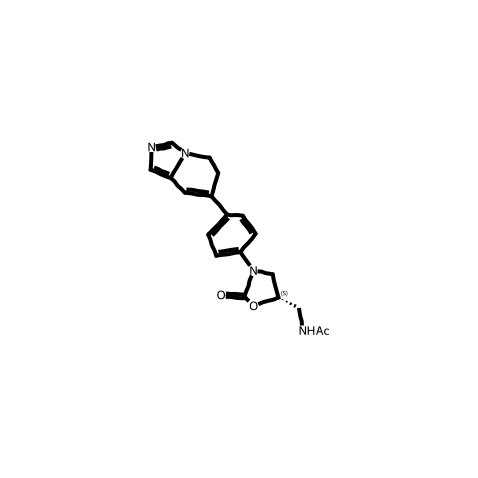 CC(=O)NC[C@H]1CN(c2ccc(C3=Cc4cncn4CC3)cc2)C(=O)O1